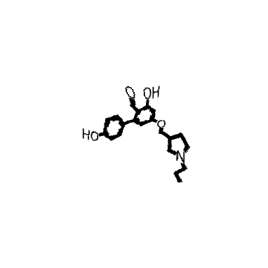 CCCN1CCC(COc2cc(O)c(C=O)c(-c3ccc(O)cc3)c2)C1